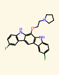 Fc1ccc2[nH]c3c(OCCN4CCCC4)c4[nH]c5ccc(F)cc5c4cc3c2c1